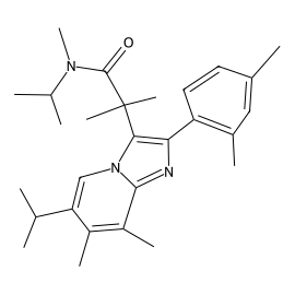 Cc1ccc(-c2nc3c(C)c(C)c(C(C)C)cn3c2C(C)(C)C(=O)N(C)C(C)C)c(C)c1